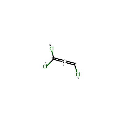 ClC=C=C(Cl)Cl